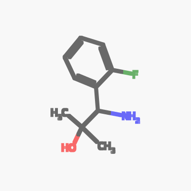 CC(C)(O)C(N)c1ccccc1F